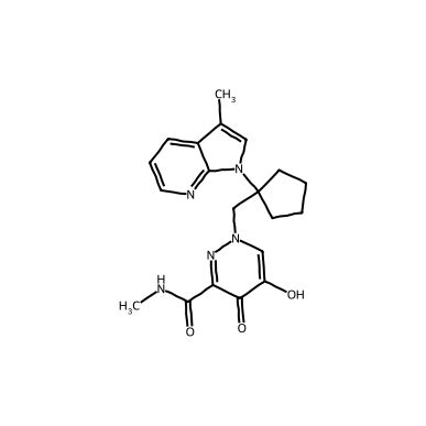 CNC(=O)c1nn(CC2(n3cc(C)c4cccnc43)CCCC2)cc(O)c1=O